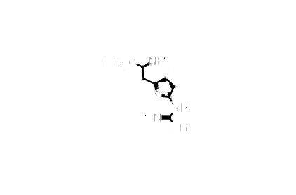 CC(=N)Nc1ccc(CC(N)C(=O)O)s1